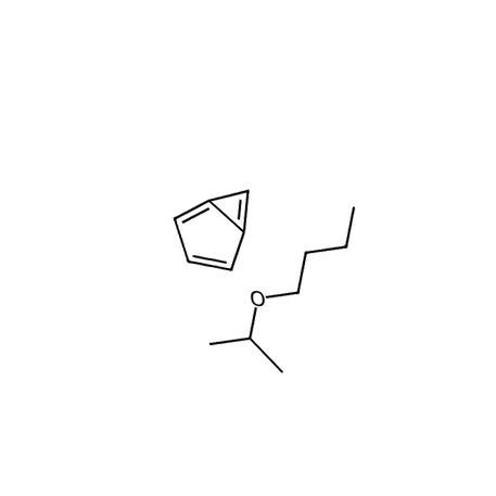 CCCCOC(C)C.c1cc2cc-2c1